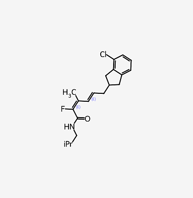 CC(/C=C/CC1Cc2cccc(Cl)c2C1)=C(\F)C(=O)NCC(C)C